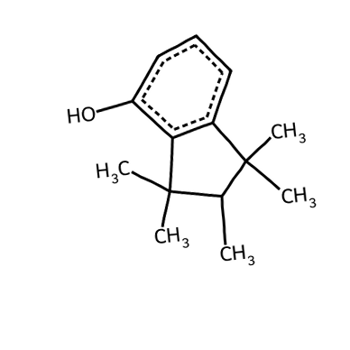 CC1C(C)(C)c2cccc(O)c2C1(C)C